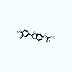 CC(=N)Nc1ccc2oc(-c3ccc(Cl)c(Cl)c3)nc2c1